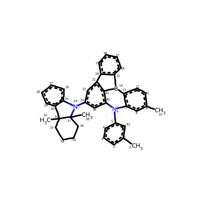 Cc1cccc(N2c3cc(C)ccc3B3c4ccccc4-c4cc(N5c6ccccc6C6(C)CCCCC56C)cc2c43)c1